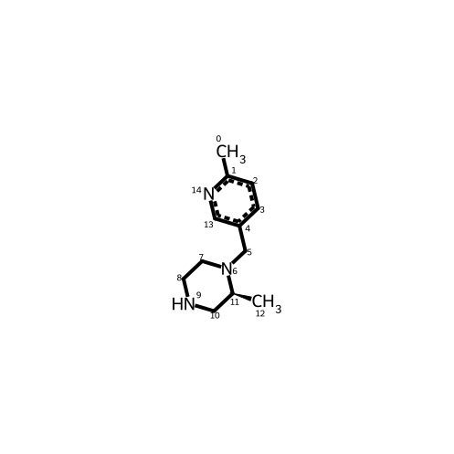 Cc1ccc(CN2CCNC[C@@H]2C)cn1